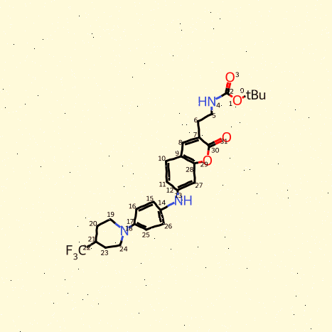 CC(C)(C)OC(=O)NCCc1cc2ccc(Nc3ccc(N4CCC(C(F)(F)F)CC4)cc3)cc2oc1=O